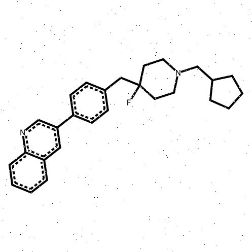 FC1(Cc2ccc(-c3cnc4ccccc4c3)cc2)CCN(CC2CCCC2)CC1